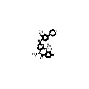 COc1cc(N2CCOCC2)ccc1Nc1ncc2c(n1)N(C)c1c(ccc(F)c1F)C(=O)N2C